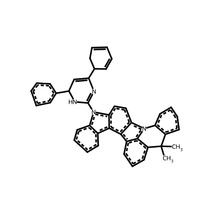 CC1(C)c2ccccc2-n2c3ccc4c(c5ccccc5n4C4=NC(C5C=CC=CC5)=CC(c5ccccc5)N4)c3c3cccc1c32